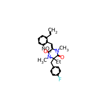 C=Cc1cccc([N+](=O)[O-])c1C=C1C(=O)N(C)C(CC)(Cc2ccc(F)cc2)C(=O)N1C